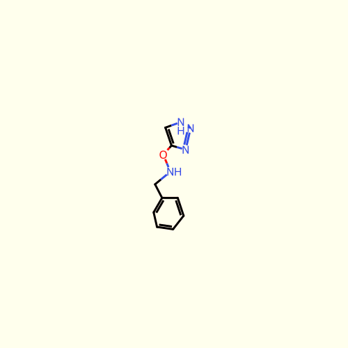 c1ccc(CNOc2c[nH]nn2)cc1